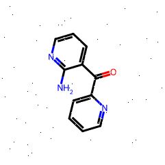 Nc1ncccc1C(=O)c1ccccn1